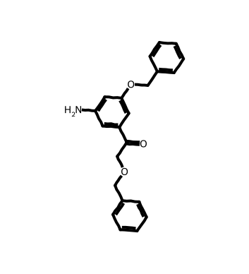 Nc1cc(OCc2ccccc2)cc(C(=O)COCc2ccccc2)c1